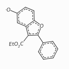 CCOC(=O)c1c(-c2ccccc2)oc2ccc([O])cc12